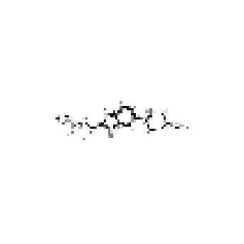 CC1CCC(c2ccc3sc(CCN(C)C)nc3c2)=NC1